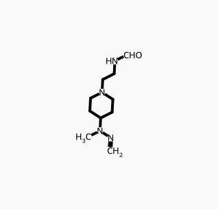 C=NN(C)C1CCN(CCNC=O)CC1